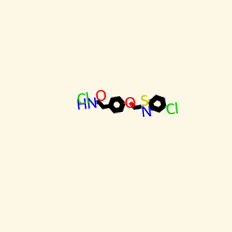 O=C(Cc1ccc(OCc2nc3cc(Cl)ccc3s2)cc1)NCl